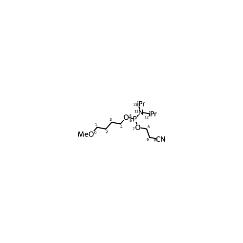 COCCCCOP(OCCC#N)N(C(C)C)C(C)C